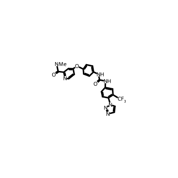 CNC(=O)c1cc(Oc2ccc(NC(=O)Nc3ccc(-n4ccnn4)c(C(F)(F)F)c3)cc2)ccn1